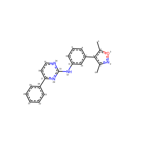 Cc1noc(C)c1-c1cccc(Nc2nccc(-c3ccccc3)n2)c1